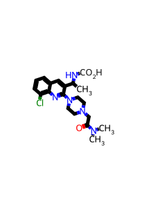 CC(NC(=O)O)c1cc2cccc(Cl)c2nc1N1CCN(CC(=O)N(C)C)CC1